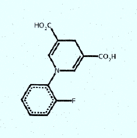 O=C(O)C1=CN(c2ccccc2F)C=C(C(=O)O)C1